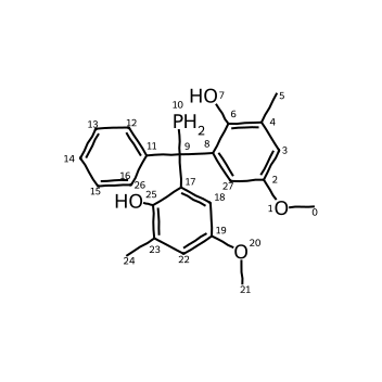 COc1cc(C)c(O)c(C(P)(c2ccccc2)c2cc(OC)cc(C)c2O)c1